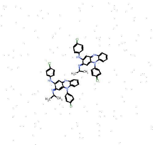 CC(C)/N=c1\cc2n(-c3ccc(Cl)cc3)c3ccccc3nc-2cc1Nc1ccc(Cl)cc1.CC(C)/N=c1\cc2n(-c3ccc(Cl)cc3)c3ccccc3nc-2cc1Nc1ccc(Cl)cc1